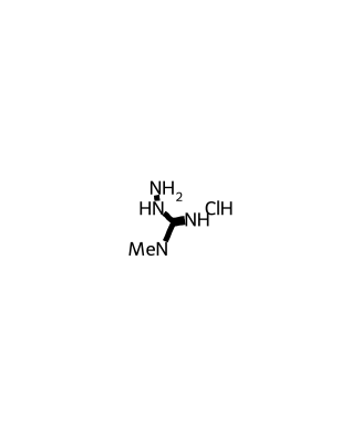 CNC(=N)NN.Cl